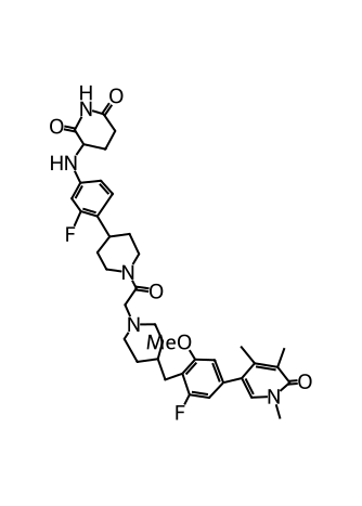 COc1cc(-c2cn(C)c(=O)c(C)c2C)cc(F)c1CC1CCN(CC(=O)N2CCC(c3ccc(NC4CCC(=O)NC4=O)cc3F)CC2)CC1